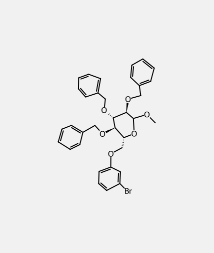 COC1O[C@H](COc2cccc(Br)c2)[C@@H](OCc2ccccc2)[C@H](OCc2ccccc2)[C@H]1OCc1ccccc1